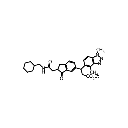 CCOC(=O)CC(c1ccc2c(c1)C(=O)C(CC(=O)NCC1CCCCC1)C2)c1ccc2c(nnn2C)c1C